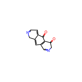 O=C1CN=CC2=C1C(=O)C1=CC=NCC1=C2